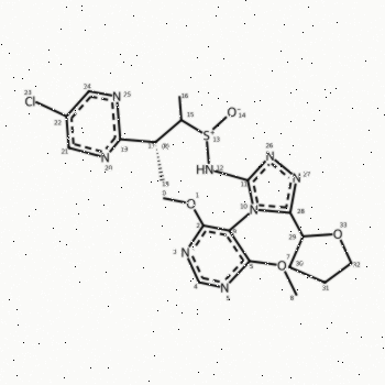 COc1ncnc(OC)c1-n1c(N[S+]([O-])C(C)[C@H](C)c2ncc(Cl)cn2)nnc1C1CCCO1